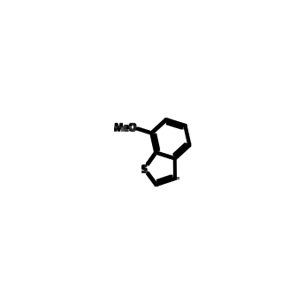 COc1cccc2[c]csc12